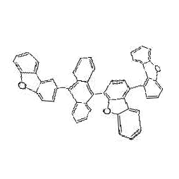 c1ccc2c(c1)oc1ccc(-c3c4ccccc4c(-c4ccc(-c5cccc6oc7ccccc7c56)c5c4oc4ccccc45)c4ccccc34)cc12